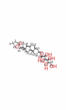 CC1CCC2(OC1)OC1CC3C4CC=C5CC(OC(=O)C(O)C(O)C(O)C(O)CO)CCC5(C)C4CCC3(C)C1C2C